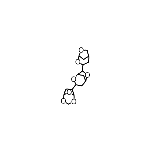 C1OC2CC(C3CC4CC(O3)C(C3CC5COC(C5)O3)O4)C(O1)O2